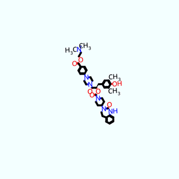 Cc1cc(C[C@@H](OC(=O)N2CCC(N3CCc4ccccc4NC3=O)CC2)C(=O)N2CCN(c3ccc(C(=O)OCCN(C)C)cc3)CC2)cc(C)c1O